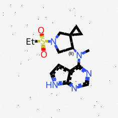 CCS(=O)(=O)N1C[C@H](N(C)c2ncnc3[nH]ccc23)C2(CC2)C1